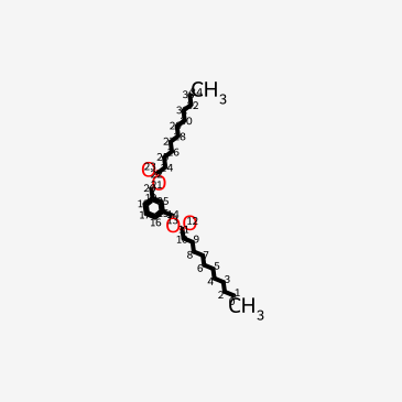 CCCCCCCCCCCC(=O)OCc1cccc(COC(=O)CCCCCCCCCCC)c1